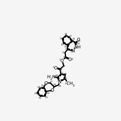 Cc1cc(C(=O)COC(=O)Cc2n[nH]c(=O)c3ccccc23)c(N)n1CC1COc2ccccc2O1